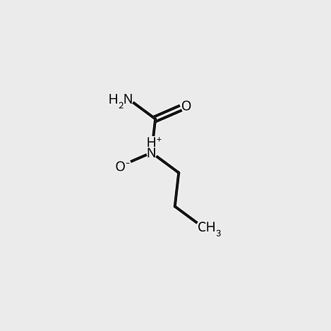 CCC[NH+]([O-])C(N)=O